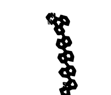 C1=c2c(sc3ccccc23)=C(c2cccc3c(-c4cccc5c(-c6cccc7c(-c8ccc9c(c8)c8ccccc8c8nccnc98)cccc67)cccc45)cccc23)CC1